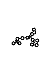 c1ccc(-n2c3ccccc3c3c(-c4ccc(-c5ccc(N(c6ccc([Si](c7ccccc7)(c7ccccc7)c7ccccc7)cc6)c6ccc7c(ccc8ccccc87)c6)cc5)cc4)cccc32)cc1